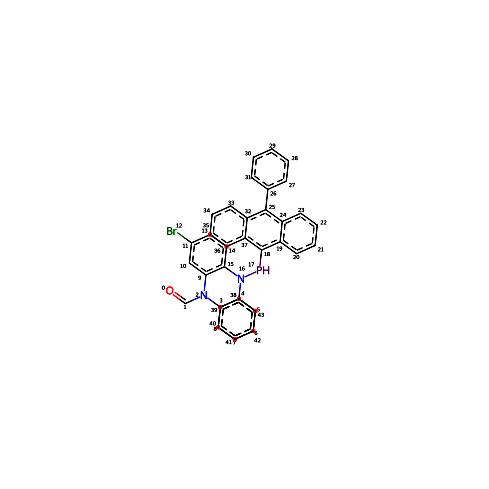 O=CN(c1ccccc1)c1cc(Br)ccc1N(Pc1c2ccccc2c(-c2ccccc2)c2ccccc12)c1ccccc1